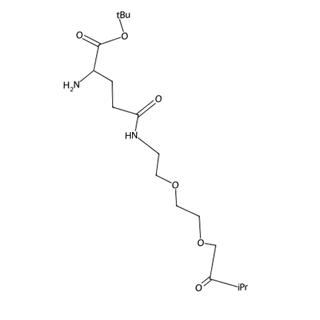 CC(C)C(=O)COCCOCCNC(=O)CCC(N)C(=O)OC(C)(C)C